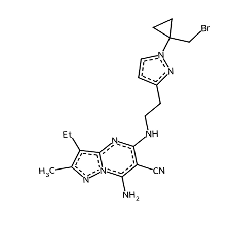 CCc1c(C)nn2c(N)c(C#N)c(NCCc3ccn(C4(CBr)CC4)n3)nc12